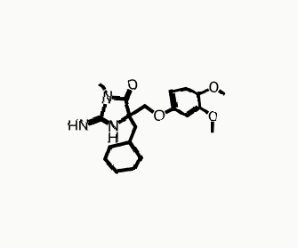 COC1=CC(OCC2(CC3CCCCC3)NC(=N)N(C)C2=O)=CCC1OC